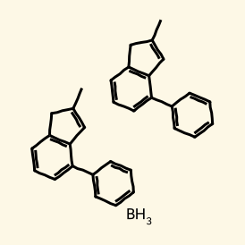 B.CC1=Cc2c(cccc2-c2ccccc2)C1.CC1=Cc2c(cccc2-c2ccccc2)C1